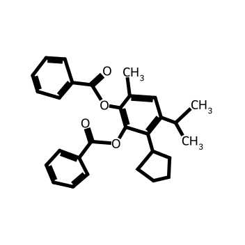 Cc1cc(C(C)C)c(C2CCCC2)c(OC(=O)c2ccccc2)c1OC(=O)c1ccccc1